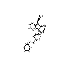 N#Cc1c2ncnn(N3CCN(CCC4CCCCC4)CC3)c-2c2c1CCCC2